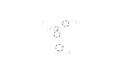 CC(C)Oc1ccc(-c2c(C(=O)O)[nH]c3ccc(Oc4ccc(Cl)c(OC(F)(F)F)c4)cc23)cc1